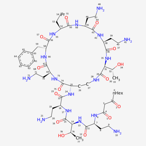 CCCCCCC(=O)CC(=O)N[C@@H](CCN)C(=O)N[C@H](C(=O)N[C@@H](CCN)C(=O)N[C@H]1CCNC(=O)[C@H]([C@@H](C)O)NC(=O)[C@H](CCN)NC(=O)[C@H](CCN)NC(=O)[C@H](CC(C)C)NC(=O)[C@@H](Cc2ccccc2)NC(=O)[C@H](CCN)NC1=O)[C@@H](C)O